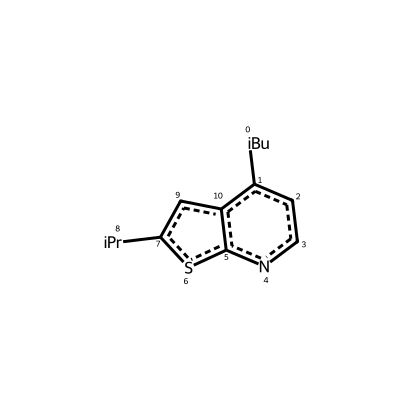 CCC(C)c1ccnc2sc(C(C)C)cc12